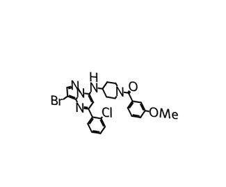 COc1cccc(C(=O)N2CCC(Nc3cc(-c4ccccc4Cl)nc4c(Br)cnn34)CC2)c1